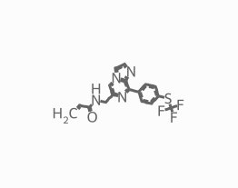 C=CC(=O)NCc1cn2ccnc2c(-c2ccc(SC(F)(F)F)cc2)n1